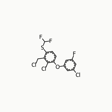 Fc1cc(Cl)cc(Oc2ccc(SC(F)F)c(CCl)c2Cl)c1